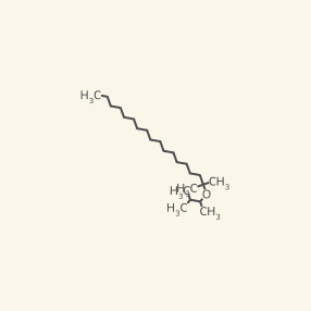 CCCCCCCCCCCCCCCCC(C)(C)OC(C)C(C)C